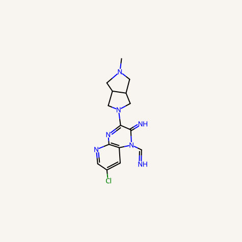 CN1CC2CN(c3nc4ncc(Cl)cc4n(C=N)c3=N)CC2C1